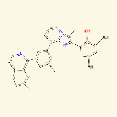 Cc1cc(-c2nccc3ccc(C)cc23)cc(-c2cccn3c(C)c(-c4cc(C(C)(C)C)cc(C(C)(C)C)c4O)nc23)c1